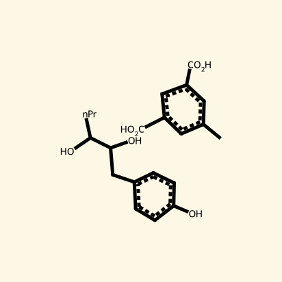 CCCC(O)C(O)Cc1ccc(O)cc1.Cc1cc(C(=O)O)cc(C(=O)O)c1